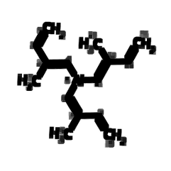 C=CC(C)=[CH][Al]([CH]=C(C)C=C)[CH]=C(C)C=C